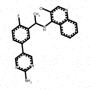 CC(Nc1c(Cl)cnc2ccccc12)c1cc(-c2cnc(N)nc2)ccc1F